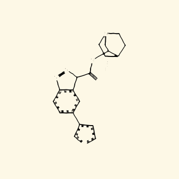 O=C(N[C@H]1CN2CCC1CC2)C1N=Nc2ccc(-c3ccoc3)cc21